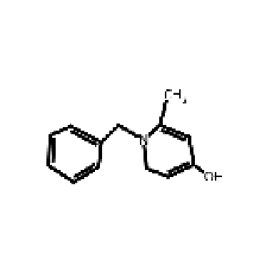 CC1=CC(O)=CCN1Cc1ccccc1